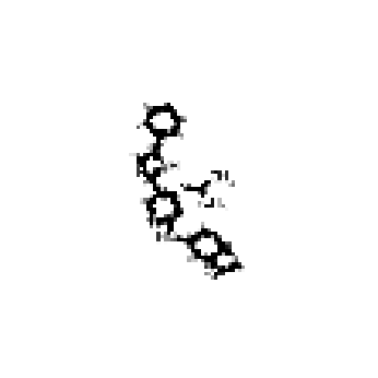 CC(C)Nc1cc(Nc2ccc3ncsc3c2)ncc1-c1ncc(-c2ccccc2)[nH]1